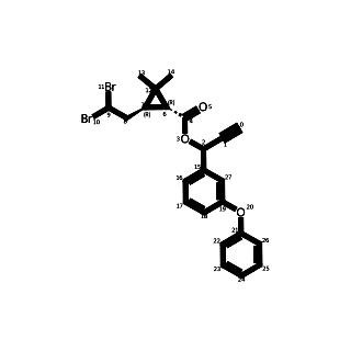 C#CC(OC(=O)[C@@H]1[C@@H](CC(Br)Br)C1(C)C)c1cccc(Oc2ccccc2)c1